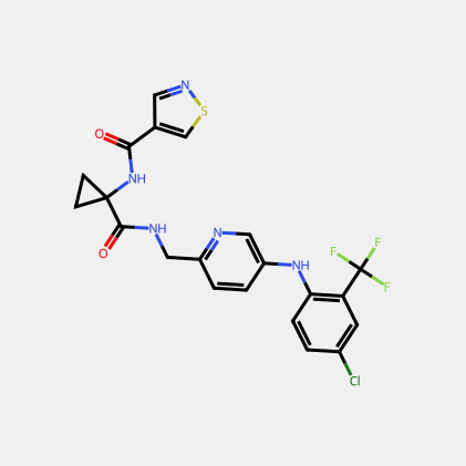 O=C(NC1(C(=O)NCc2ccc(Nc3ccc(Cl)cc3C(F)(F)F)cn2)CC1)c1cnsc1